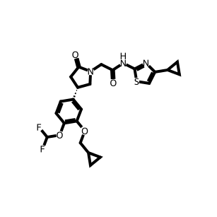 O=C(CN1C[C@H](c2ccc(OC(F)F)c(OCC3CC3)c2)CC1=O)Nc1nc(C2CC2)cs1